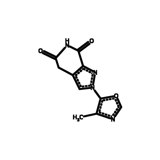 Cc1ncoc1-n1cc2c(n1)C(=O)NC(=O)C2